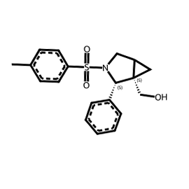 Cc1ccc(S(=O)(=O)N2CC3C[C@@]3(CO)[C@@H]2c2ccccc2)cc1